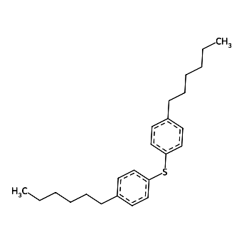 CCCCCCc1ccc(Sc2ccc(CCCCCC)cc2)cc1